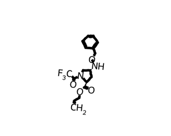 C=CCOC(=O)[C@@H]1C[C@@H](NOCc2ccccc2)CN1C(=O)C(F)(F)F